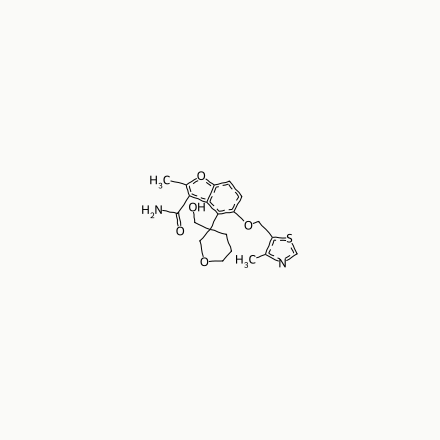 Cc1ncsc1COc1ccc2oc(C)c(C(N)=O)c2c1C1(CO)CCCOC1